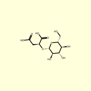 O=C(O)C[C@H](O[C@@H]1O[C@H](CO)[C@@H](O)[C@H](O)[C@H]1O)C(=O)O